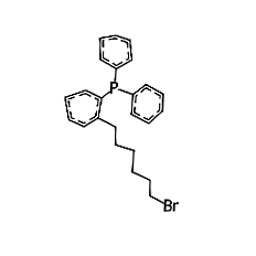 BrCCCCCCc1ccccc1P(c1ccccc1)c1ccccc1